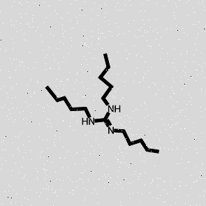 CCCCCN=C(NCCCCC)NCCCCC